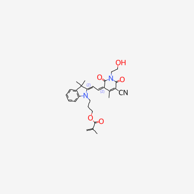 C=C(C)C(=O)OCCCN1/C(=C\C=C2/C(=O)N(CCO)C(=O)C(C#N)=C2C)C(C)(C)c2ccccc21